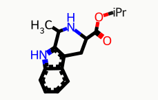 CC(C)OC(=O)C1Cc2c([nH]c3ccccc23)C(C)N1